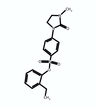 CCc1ccccc1OS(=O)(=O)c1ccc(N2CCN(C)C2=O)cc1